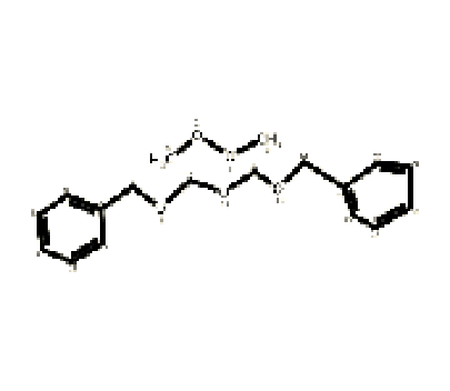 COOC.c1ccc(COCOCOCc2ccccc2)cc1